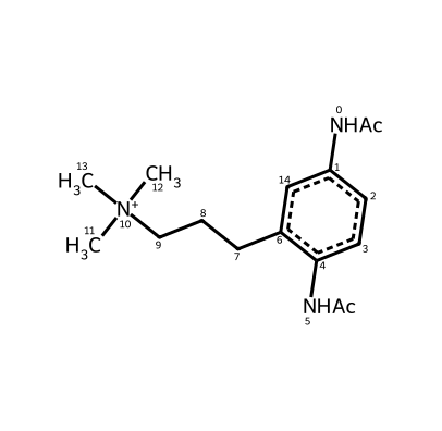 CC(=O)Nc1ccc(NC(C)=O)c(CCC[N+](C)(C)C)c1